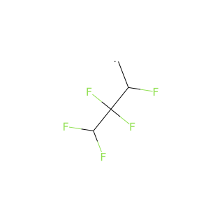 [CH2]C(F)C(F)(F)C(F)F